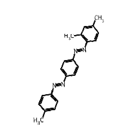 Cc1ccc(N=Nc2ccc(N=Nc3ccc(C)cc3C)cc2)cc1